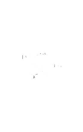 O=P([O-])([O-])[O-].[Al+3].[AlH2][SiH3]